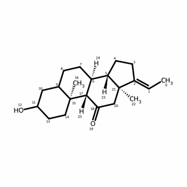 C/C=C1\CC[C@H]2[C@@H]3CCC4CC(O)CC[C@]4(C)[C@H]3C(=O)C[C@]12C